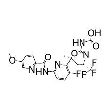 COc1ccc(C(=O)Nc2ccc(F)c([C@]3(C)C[C@@H](C(F)(F)F)N=C(NC(=O)O)O3)n2)nc1